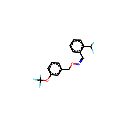 FC(F)c1ccccc1/[C]=N\OCc1cccc(OC(F)(F)F)c1